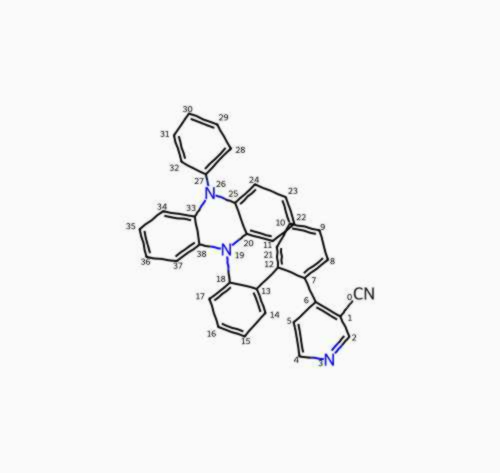 N#Cc1cnccc1-c1ccccc1-c1ccccc1N1c2ccccc2N(c2ccccc2)c2ccccc21